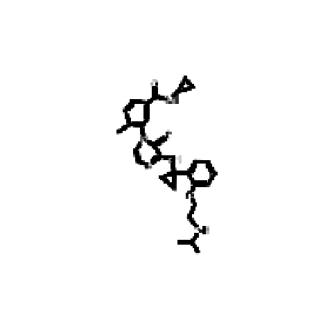 Cc1ccc(C(=O)NC2CC2)cc1-n1ccnc(NC2(c3ccccc3OCCNC(C)C)CC2)c1=O